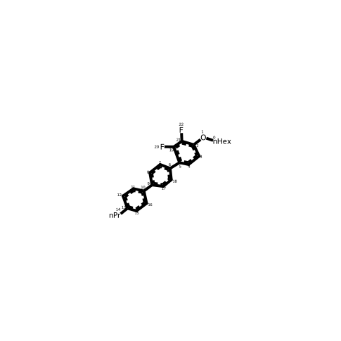 CCCCCCOc1ccc(-c2ccc(-c3ccc(CCC)cc3)cc2)c(F)c1F